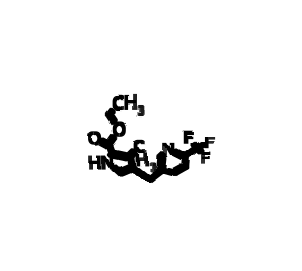 CCOC(=O)c1[nH]cc(Cc2ccc(C(F)(F)F)nc2)c1C